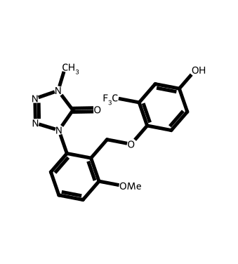 COc1cccc(-n2nnn(C)c2=O)c1COc1ccc(O)cc1C(F)(F)F